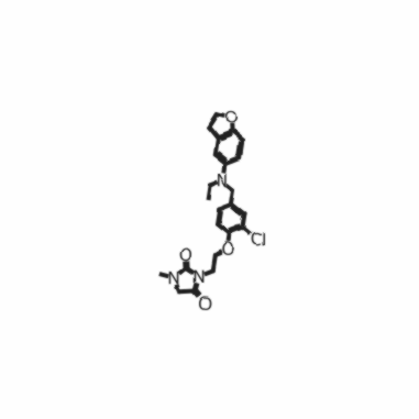 CCN(Cc1ccc(OCCN2C(=O)CN(C)C2=O)c(Cl)c1)c1ccc2c(c1)CCO2